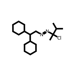 CC(C)C(C)(Cl)N=NCC(C1CCCCC1)C1CCCCC1